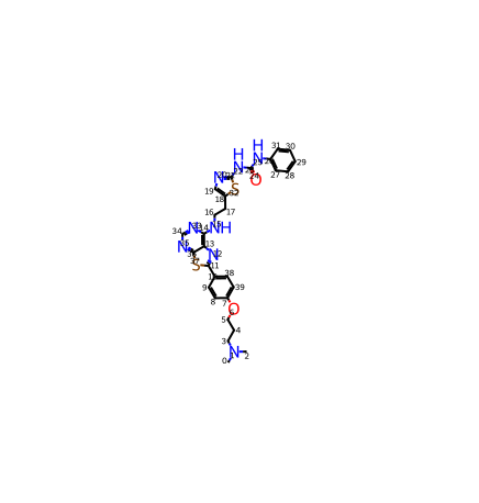 CN(C)CCCOc1ccc(-c2nc3c(NCCc4cnc(NC(=O)Nc5ccccc5)s4)ncnc3s2)cc1